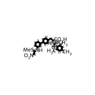 CS/C(=C\[N+](=O)[O-])Nc1cccc(-c2ccc(C[C@H](NS(=O)(=O)c3c(C)cc(C)cc3C)C(=O)O)cc2)c1